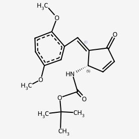 COc1ccc(OC)c(/C=C2/C(=O)C=C[C@@H]2NC(=O)OC(C)(C)C)c1